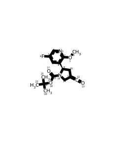 COc1ncc(F)cc1[C@H]1CC(=C=O)CN1C(=O)OC(C)(C)C